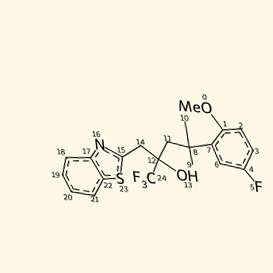 COc1ccc(F)cc1C(C)(C)CC(O)(Cc1nc2ccccc2s1)C(F)(F)F